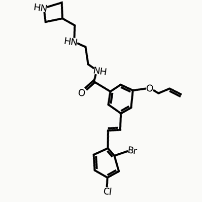 C=CCOc1cc(/C=C/c2ccc(Cl)cc2Br)cc(C(=O)NCCNCC2CNC2)c1